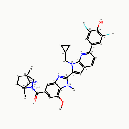 COc1cc(C(=O)N2C[C@H]3CC[C@@H]2[C@@H]3N)cc2nc(-c3cc4ccc(-c5cc(F)c(O)c(F)c5)nc4n3CC3CC3)n(C)c12